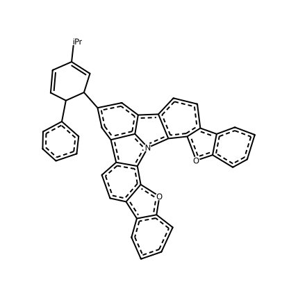 CC(C)C1=CC(c2cc3c4ccc5c6ccccc6oc5c4n4c3c(c2)c2ccc3c5ccccc5oc3c24)C(c2ccccc2)C=C1